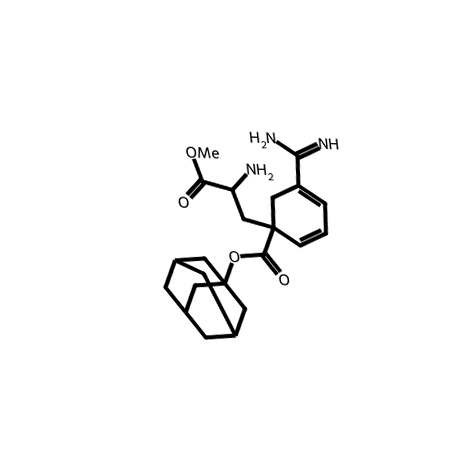 COC(=O)C(N)CC1(C(=O)OC23CC4CC(CC(C4)C2)C3)C=CC=C(C(=N)N)C1